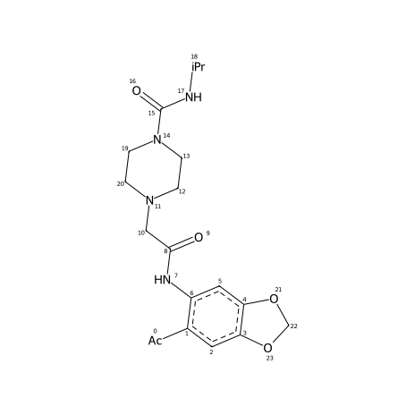 CC(=O)c1cc2c(cc1NC(=O)CN1CCN(C(=O)NC(C)C)CC1)OCO2